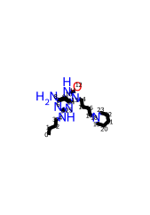 CCCCNc1nc(N)c2[nH]c(=O)n(CCCCN3CCCCC3)c2n1